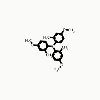 COc1cc[c]([Bi]([c]2ccc(OC)cc2C)[c]2ccc(OC)cc2C)c(C)c1